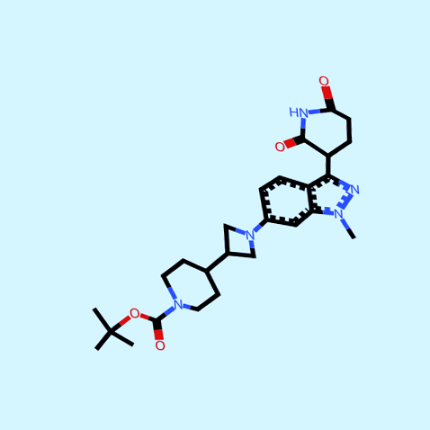 Cn1nc(C2CCC(=O)NC2=O)c2ccc(N3CC(C4CCN(C(=O)OC(C)(C)C)CC4)C3)cc21